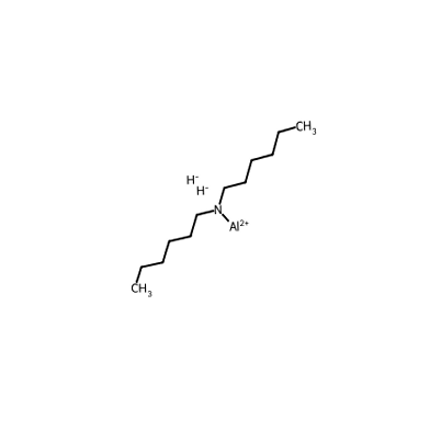 CCCCCC[N]([Al+2])CCCCCC.[H-].[H-]